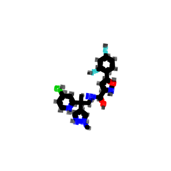 Cn1cc(C(C)(CNC(=O)c2cc(-c3ccc(F)cc3F)on2)c2cc(Cl)ccn2)cn1